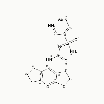 CN/C=C(\C=N)S(N)(=O)=NC(=O)Nc1c2c(cc3c1CCC3)CCC2